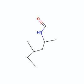 CCC(C)CC(C)NC=O